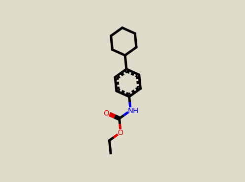 CCOC(=O)Nc1ccc(C2CCCCC2)cc1